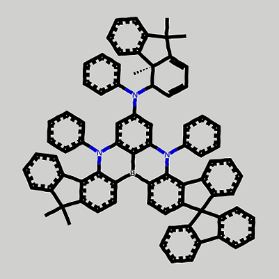 CC1(C)C2=CC=CC(N(c3ccccc3)c3cc4c5c(c3)N(c3ccccc3)c3c(ccc6c3-c3ccccc3C63c6ccccc6-c6ccccc63)B5c3ccc5c(c3N4c3ccccc3)-c3ccccc3C5(C)C)[C@@]2(C)c2ccccc21